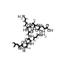 CC(C)C[C@H](N)C(=O)N[C@@H](C)C(=O)N[C@@H](CCCCN)C(=O)NCC(=O)N[C@@H](CCCCN)C(=O)N[C@@H](C)C(=O)N[C@@H](CCC(=O)O)C(=O)O